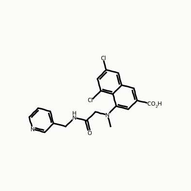 CN(CC(=O)NCc1cccnc1)c1cc(C(=O)O)cc2cc(Cl)cc(Cl)c12